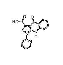 O=C(O)c1nn(-c2ccccn2)c2[nH]c3ccccc3c(=O)c12